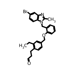 CCc1cc(COc2ccccc2Cn2c(C)nc3cc(Br)ccc32)ccc1CCC=O